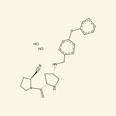 Cl.Cl.N#C[C@@H]1CCCN1C(=O)[C@@H]1C[C@H](NCc2ccc(Oc3ccccc3)cc2)CN1